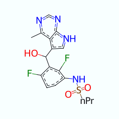 CCCS(=O)(=O)Nc1ccc(F)c(C(O)c2c[nH]c3ncnc(C)c23)c1F